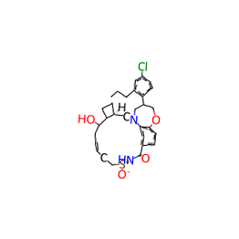 CCCc1cc(Cl)ccc1C1COc2ccc3cc2N(C1)C[C@@H]1CCC1C(O)C/C=C/CC[S+]([O-])NC3=O